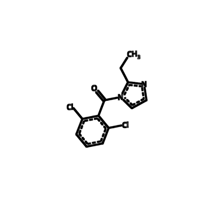 CCc1nccn1C(=O)c1c(Cl)cccc1Cl